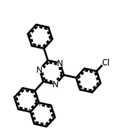 Clc1cccc(-c2nc(-c3ccccc3)nc(-c3cccc4ccccc34)n2)c1